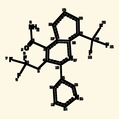 NC(=O)c1c([CH]C(F)(F)F)c(-c2cccnc2)nc2c(C(F)(F)F)cccc12